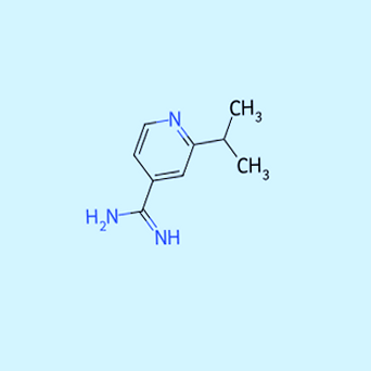 CC(C)c1cc(C(=N)N)ccn1